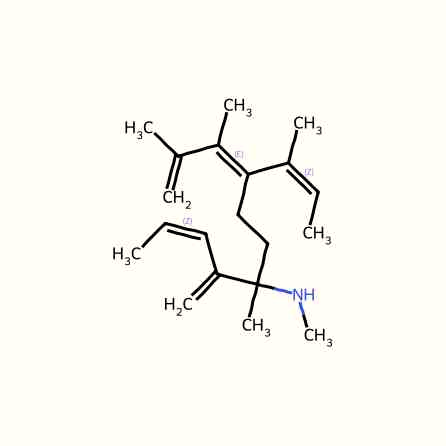 C=C(C)/C(C)=C(CCC(C)(NC)C(=C)/C=C\C)/C(C)=C\C